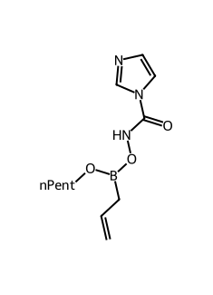 C=CCB(OCCCCC)ONC(=O)n1ccnc1